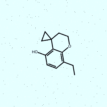 CCc1ccc(O)c2c1OCCC21CC1